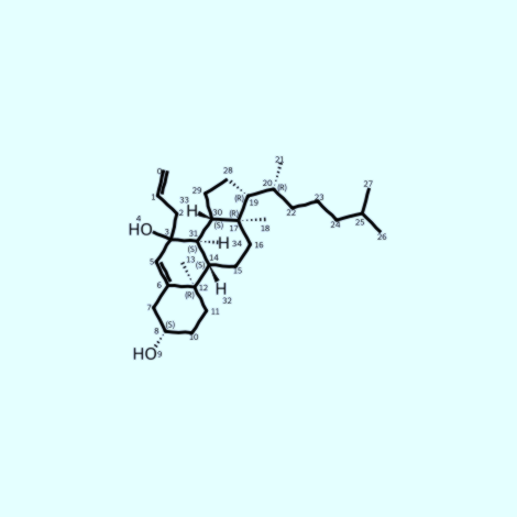 C=CCC1(O)C=C2C[C@@H](O)CC[C@]2(C)[C@H]2CC[C@]3(C)[C@@H]([C@H](C)CCCC(C)C)CC[C@H]3[C@@H]21